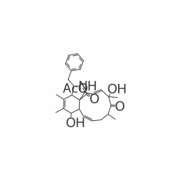 CC(=O)OC1/C=C/C(C)(O)C(=O)C(C)C/C=C\C2C(O)C(C)=C(C)C3C(Cc4ccccc4)NC(=O)C123